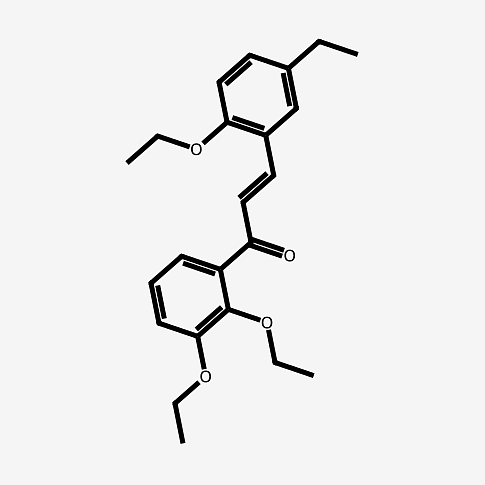 CCOc1ccc(CC)cc1C=CC(=O)c1cccc(OCC)c1OCC